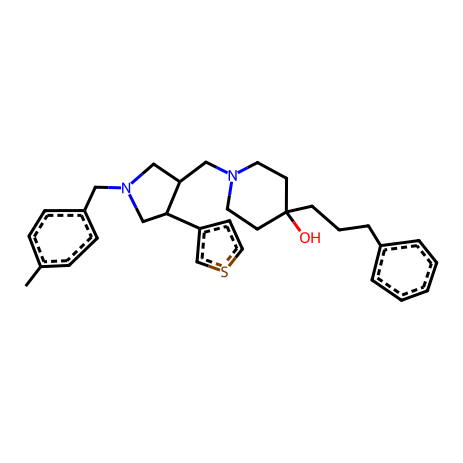 Cc1ccc(CN2CC(CN3CCC(O)(CCCc4ccccc4)CC3)C(c3ccsc3)C2)cc1